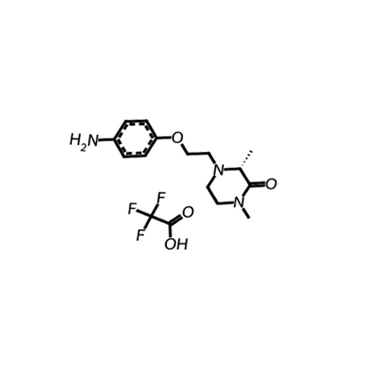 C[C@@H]1C(=O)N(C)CCN1CCOc1ccc(N)cc1.O=C(O)C(F)(F)F